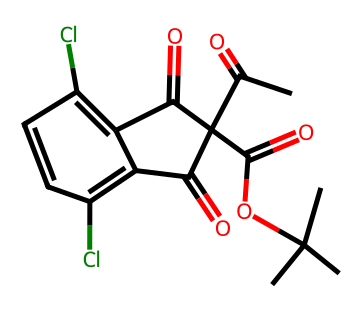 CC(=O)C1(C(=O)OC(C)(C)C)C(=O)c2c(Cl)ccc(Cl)c2C1=O